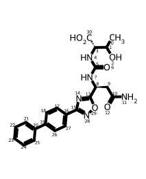 CC(O)[C@H](NC(=O)N[C@@H](CC(N)=O)c1nc(-c2ccc(-c3ccccc3)cc2)no1)C(=O)O